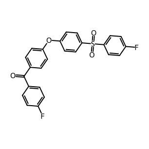 O=C(c1ccc(F)cc1)c1ccc(Oc2ccc(S(=O)(=O)c3ccc(F)cc3)cc2)cc1